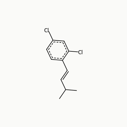 CC(C)C=Cc1ccc(Cl)cc1Cl